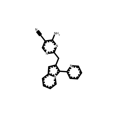 N#Cc1cnc(Cc2cc3ccccn3c2-c2ccccn2)nc1N